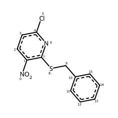 O=[N+]([O-])c1ccc(Cl)nc1SCc1ccccc1